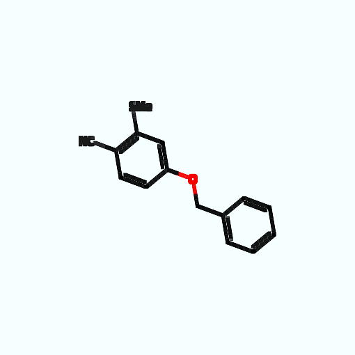 CSc1cc(OCc2ccccc2)ccc1C#N